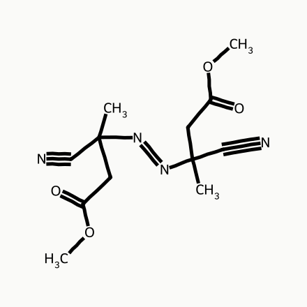 COC(=O)CC(C)(C#N)/N=N/C(C)(C#N)CC(=O)OC